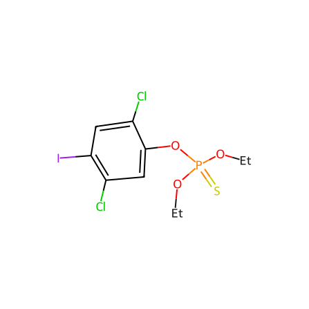 CCOP(=S)(OCC)Oc1cc(Cl)c(I)cc1Cl